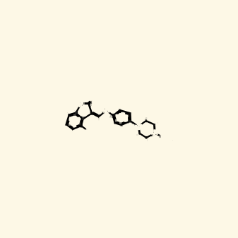 Cc1cccc2c1C(=CNc1ccc(N3CCN(C)CC3)cc1)C(=O)N2